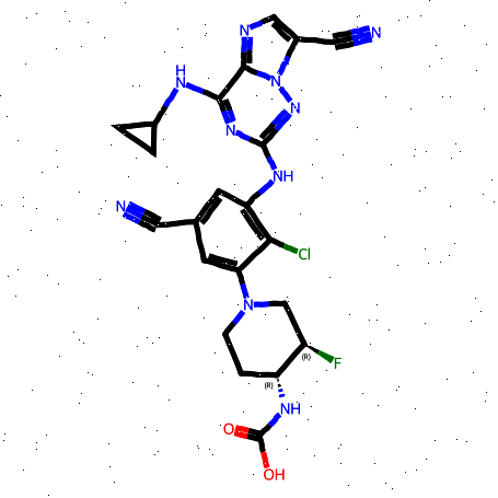 N#Cc1cc(Nc2nc(NC3CC3)c3ncc(C#N)n3n2)c(Cl)c(N2CC[C@@H](NC(=O)O)[C@H](F)C2)c1